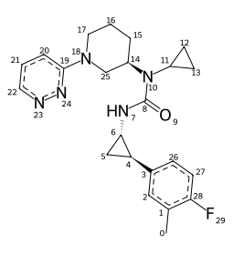 Cc1cc([C@H]2C[C@@H]2NC(=O)N(C2CC2)[C@@H]2CCCN(c3cccnn3)C2)ccc1F